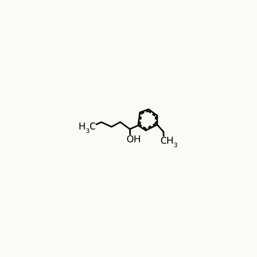 CCCCC(O)c1cccc(CC)c1